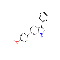 COc1ccc(C2=Cc3[nH]cc(-c4ccccc4)c3CC2)cc1